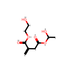 C=C(CC(=O)OC(C)O)C(=O)OCCO